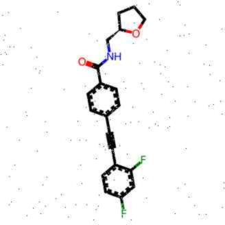 O=C(NC[C@H]1CCCO1)c1ccc(C#Cc2ccc(F)cc2F)cc1